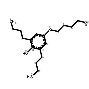 CCCCc1cc(SCCCCO)cc(CCCC)c1O